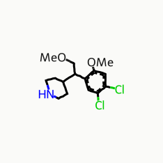 COCC(c1cc(Cl)c(Cl)cc1OC)C1CCNCC1